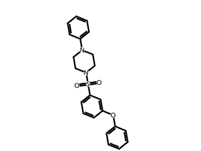 O=S(=O)(c1cccc(Oc2ccccc2)c1)N1CCN(c2ccccc2)CC1